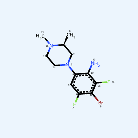 C[C@H]1CN(c2cc(F)c(Br)c(F)c2N)CCN1C